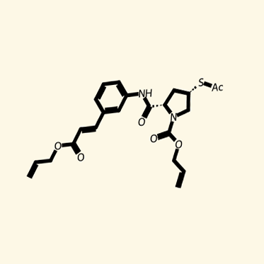 C=CCOC(=O)C=Cc1cccc(NC(=O)[C@@H]2C[C@H](SC(C)=O)CN2C(=O)OCC=C)c1